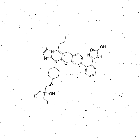 CCCc1c(Cc2ccc(-c3ccccc3C3=NOC(O)N3)cc2)c(=O)n([C@H]2CC[C@H](OCC(O)(CF)CF)CC2)c2ncnn12